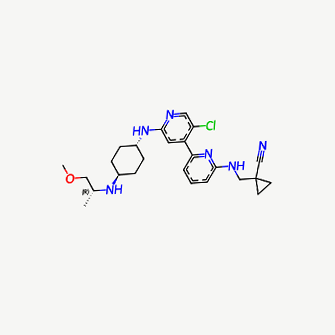 COC[C@@H](C)N[C@H]1CC[C@H](Nc2cc(-c3cccc(NCC4(C#N)CC4)n3)c(Cl)cn2)CC1